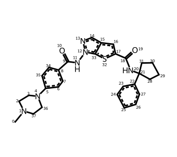 CN1CCN(c2ccc(C(=O)Nn3ncc4cc(C(=O)NC5(c6ccccc6)CCCC5)sc43)cc2)CC1